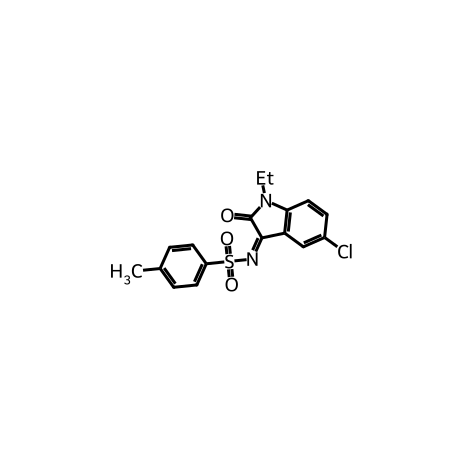 CCN1C(=O)C(=NS(=O)(=O)c2ccc(C)cc2)c2cc(Cl)ccc21